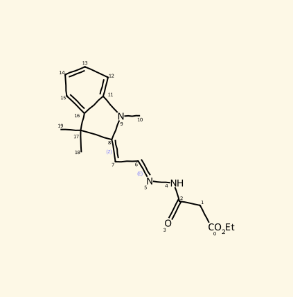 CCOC(=O)CC(=O)N/N=C/C=C1\N(C)c2ccccc2C1(C)C